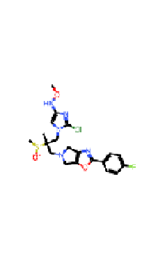 CONc1cn(CC(C)(CN2Cc3nc(-c4ccc(F)cc4)oc3C2)[S+](C)[O-])c(Cl)n1